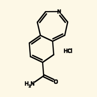 Cl.NC(=O)C1=CC=C2C=CN=CC=C2C1